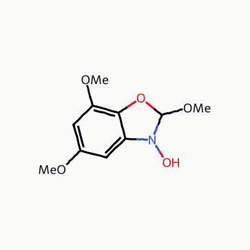 COc1cc(OC)c2c(c1)N(O)C(OC)O2